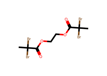 CC(Br)(Br)C(=O)OCCOC(=O)C(C)(Br)Br